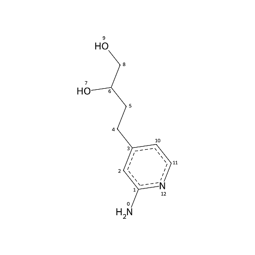 Nc1cc(CCC(O)CO)ccn1